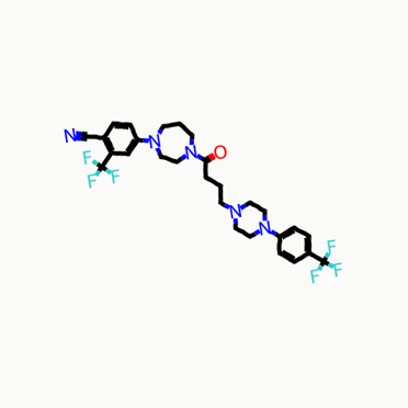 N#Cc1ccc(N2CCCN(C(=O)CCCN3CCN(c4ccc(C(F)(F)F)cc4)CC3)CC2)cc1C(F)(F)F